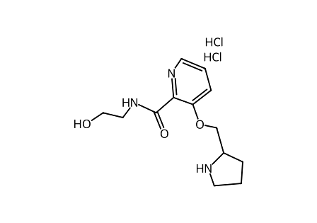 Cl.Cl.O=C(NCCO)c1ncccc1OCC1CCCN1